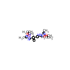 CC1=C[C@@H](c2ncc(-c3ccc(-c4ccc(-c5cnc([C@@H]6C=C(C)CN6C(=O)OC(C)(C)C)[nH]5)c5c4C4CCC5C4)cc3)[nH]2)N(C(=O)OC(C)(C)C)C1